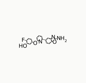 Nc1nc2cc(-c3cccc(Oc4ccc(F)c(O)c4)n3)ccc2o1